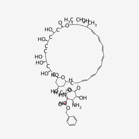 C[C@@H]1[C@H](O)[C@@H](C)/C=C/C=C/C=C/C=C/C=C/C=C/C=C/[C@H](O[C@@H]2O[C@H](C)[C@@H](O)[C@H](N)[C@@H]2O)C[C@@H]2O[C@](O)(C[C@@H](O)C[C@@H](O)[C@H](O)CC[C@@H](O)C[C@@H](O)CC(=O)O[C@H]1C)C[C@H](O)[C@H]2C(=O)NCC(=O)OCc1ccccc1